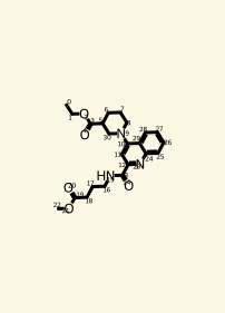 CCOC(=O)C1CCCN(c2cc(C(=O)NCCCC(=O)OC)nc3ccccc23)C1